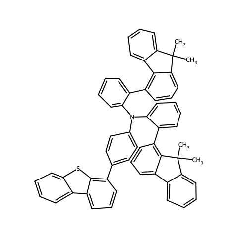 CC1(C)c2ccccc2-c2c(-c3ccccc3N(c3ccc(-c4cccc5c4sc4ccccc45)cc3)c3ccccc3-c3cccc4c3C(C)(C)c3ccccc3-4)cccc21